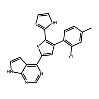 Cc1ccc(-c2cc(-c3ncnc4[nH]ccc34)sc2-c2ncc[nH]2)c(Cl)c1